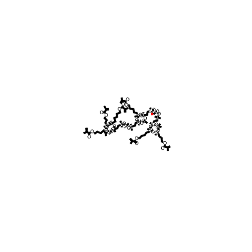 C=C(C)C(=O)OCCCCC[Si]1(C)O[Si](C)(CC[Si](C)(C)O[Si](C)(C)O[Si](C)(C)CC[Si]2(C)O[Si](C)(C)O[Si](C)(CCCCOC(=O)C(=C)C)O[Si](C)(CCCCCOC(=O)C(=C)C)O2)O[SiH](C)O[Si](C)(CC[Si](C)(C)O[Si](C)(C)O[Si](C)(C)CC[Si]2(C)O[Si](C)(CCCCCOC(=O)C(=C)C)O[Si](C)(CCCOC(=O)C(=C)C)O[Si](C)(C(C)CCCCOC(=O)C(=C)C)O2)O1